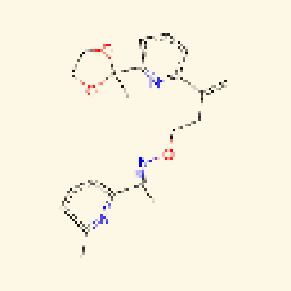 C=C(CCO/N=C(\C)c1cccc(C)n1)c1cccc(C2(C)OCCO2)n1